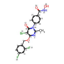 Cc1nc(OCc2ccc(F)cc2F)c(Br)c(=O)n1-c1ccc(C(=O)NO)cc1